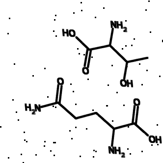 CC(O)C(N)C(=O)O.NC(=O)CCC(N)C(=O)O